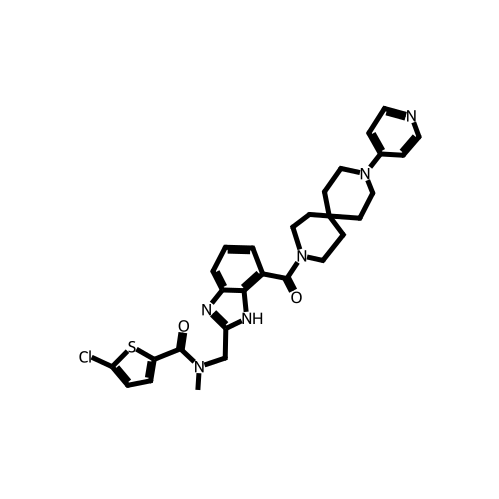 CN(Cc1nc2cccc(C(=O)N3CCC4(CC3)CCN(c3ccncc3)CC4)c2[nH]1)C(=O)c1ccc(Cl)s1